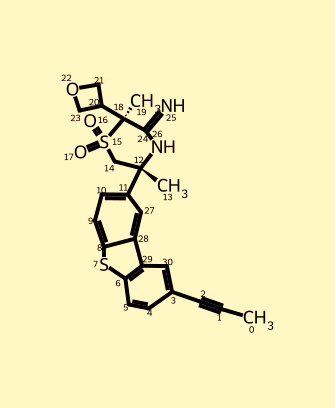 CC#Cc1ccc2sc3ccc([C@]4(C)CS(=O)(=O)[C@@](C)(C5COC5)C(=N)N4)cc3c2c1